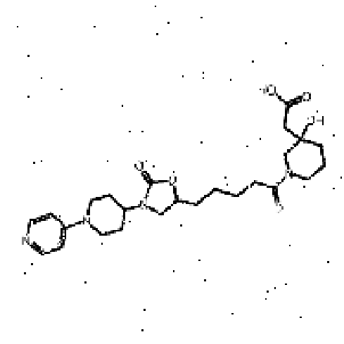 O=C(O)CC1(O)CCCN(C(=O)CCCCC2CN(C3CCN(c4ccncc4)CC3)C(=O)O2)C1